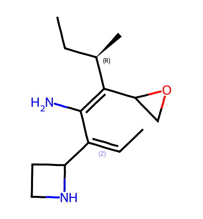 C/C=C(\C(N)=C(C1CO1)[C@H](C)CC)C1CCN1